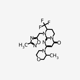 Cc1noc(CN2c3nc(N4CCOCC4C)cc(=O)n3CCC2C(F)(F)F)n1